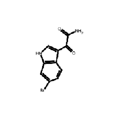 NC(=O)C(=O)c1c[nH]c2cc(Br)ccc12